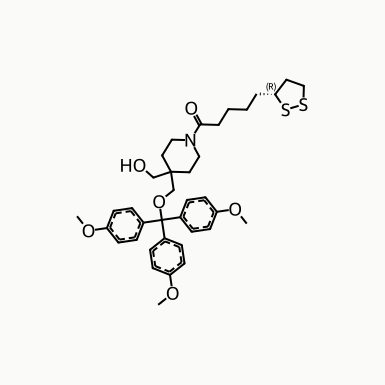 COc1ccc(C(OCC2(CO)CCN(C(=O)CCCC[C@@H]3CCSS3)CC2)(c2ccc(OC)cc2)c2ccc(OC)cc2)cc1